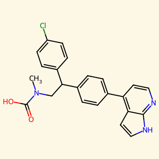 CN(CC(c1ccc(Cl)cc1)c1ccc(-c2ccnc3[nH]ccc23)cc1)C(=O)O